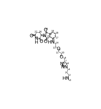 CNCCCn1cc(COCCOCCNc2cccc3c2C(=O)N(C2CCC(=O)NC2=O)C3=O)nn1